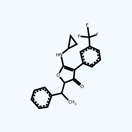 CC(c1ccccc1)C1OC(NC2CC2)=C(c2cccc(C(F)(F)F)c2)C1=O